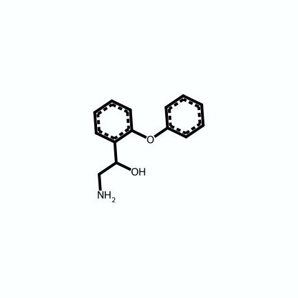 NCC(O)c1ccccc1Oc1ccccc1